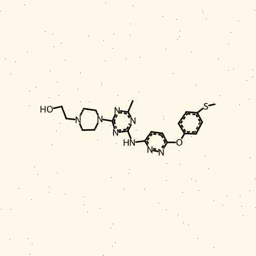 CSc1ccc(Oc2ccc(Nc3nc(C)nc(N4CCN(CCO)CC4)n3)nn2)cc1